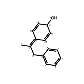 CC(Cc1ccccc1)=C1C=CC(O)C=C1